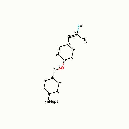 CCCCCCC[C@H]1CC[C@H](CO[C@H]2CC[C@H](/C=C(/F)C#N)CC2)CC1